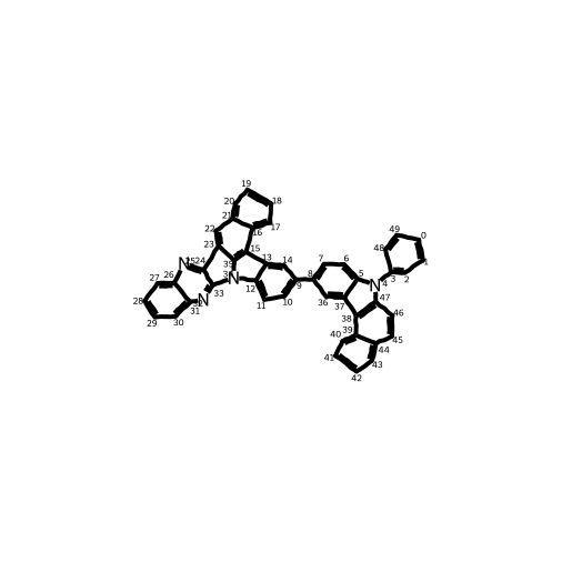 c1ccc(-n2c3ccc(-c4ccc5c(c4)c4c6ccccc6cc6c7nc8ccccc8nc7n5c64)cc3c3c4ccccc4ccc32)cc1